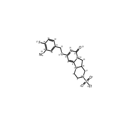 CCS(=O)(=O)N1CCN2c3cc(OCc4ccc(F)c(C#N)c4)nc(=O)n3CC2C1